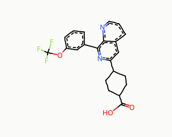 O=C(O)C1CCC(c2cc3cccnc3c(-c3cccc(OC(F)(F)F)c3)n2)CC1